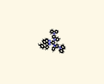 Cc1ccc(-c2cccc(-c3nc(-c4cc(-n5c6ccccc6c6cc(-n7c8ccccc8c8ccccc87)ccc65)cc(-n5c6ccccc6c6cc(-n7c8ccccc8c8ccccc87)ccc65)c4)nc4ccc5ccccc5c34)c2)cc1